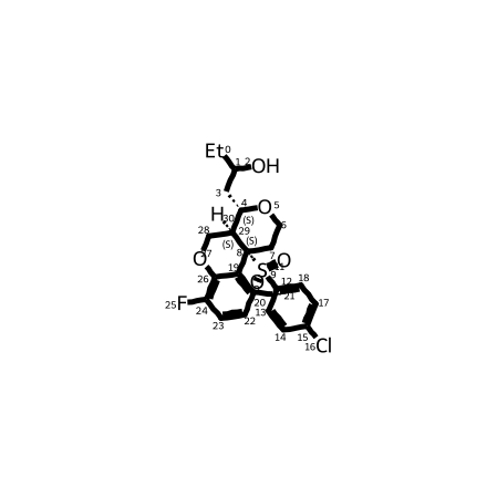 CCC(O)C[C@@H]1OCC[C@@]2(S(=O)(=O)c3ccc(Cl)cc3)c3c(F)ccc(F)c3OC[C@@H]12